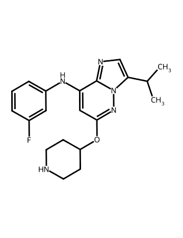 CC(C)c1cnc2c(Nc3cccc(F)c3)cc(OC3CCNCC3)nn12